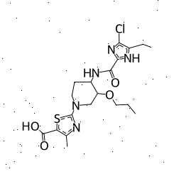 CCCOC1CN(c2nc(C)c(C(=O)O)s2)CCC1NC(=O)c1nc(Cl)c(CC)[nH]1